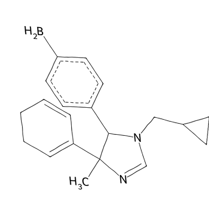 Bc1ccc(C2N(CC3CC3)C=NC2(C)C2=CCCC=C2)cc1